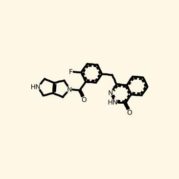 O=C(c1cc(Cc2n[nH]c(=O)c3ccccc23)ccc1F)N1CC2=C(CNC2)C1